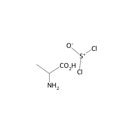 CC(N)C(=O)O.[O-][S+](Cl)Cl